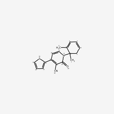 CC1=CC=CCC1(C)n1ccc(-c2cccs2)c(C#N)c1=O